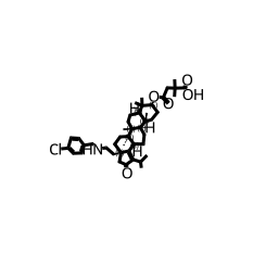 CC(C)C1=C2[C@H]3CC[C@@H]4[C@@]5(C)CC[C@H](OC(=O)CC(C)(C)C(=O)O)C(C)(C)[C@@H]5CC[C@@]4(C)[C@]3(C)CC[C@@]2(CCNCc2ccc(Cl)cc2)CC1=O